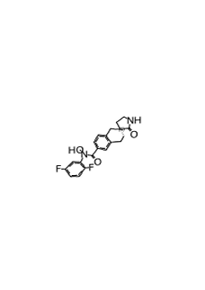 O=C(c1ccc2c(c1)CC[C@@]1(CCNC1=O)C2)N(O)c1cc(F)ccc1F